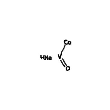 [NaH].[O]=[V][Co]